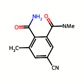 CNC(=O)c1cc(C#N)cc(C)c1C(N)=O